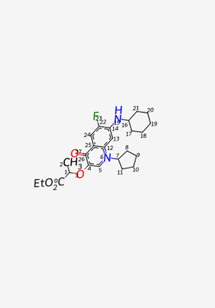 CCOC(=O)C(C)Oc1cn(C2CCCC2)c2cc(NC3CCCCC3)c(F)cc2c1=O